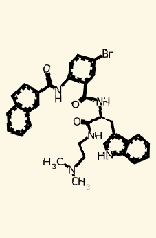 CN(C)CCNC(=O)[C@H](Cc1c[nH]c2ccccc12)NC(=O)c1cc(Br)ccc1NC(=O)c1ccc2ccccc2c1